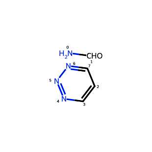 NC=O.c1cnnnc1